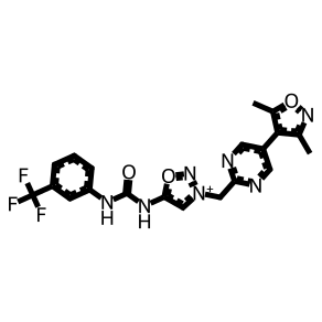 Cc1noc(C)c1-c1cnc(C[n+]2cc(NC(=O)Nc3cccc(C(F)(F)F)c3)on2)nc1